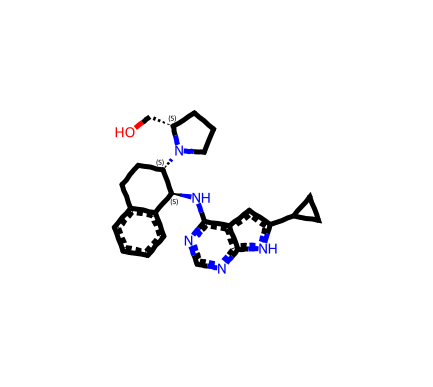 OC[C@@H]1CCCN1[C@H]1CCc2ccccc2[C@@H]1Nc1ncnc2[nH]c(C3CC3)cc12